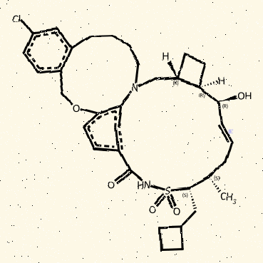 C[C@H]1C/C=C/[C@H](O)[C@@H]2CC[C@H]2CN2CCCCc3cc(Cl)ccc3COc3ccc(cc32)C(=O)NS(=O)(=O)[C@H]1CC1CCC1